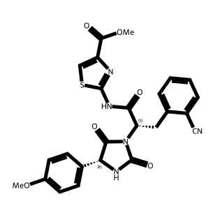 COC(=O)c1csc(NC(=O)[C@H](Cc2ccccc2C#N)N2C(=O)N[C@H](c3ccc(OC)cc3)C2=O)n1